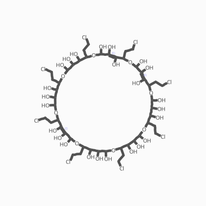 O/C1=C(\O)C(CCCl)OC(O)C(O)C(O)C(CCCl)OC(O)C(O)C(O)C(CCCl)OC(O)/C(O)=C(\O)C(CCCl)OC(O)/C(O)=C(\O)C(CCCl)OC(O)C(O)C(O)C(CCCl)OC(O)C(O)C(O)C(CCCl)OC(O)C(O)C(O)C(CCCl)OC1O